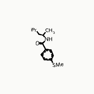 CSc1ccc(C(=O)NC(C)CC(C)C)cc1